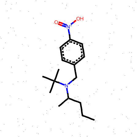 CCCC(C)N(Cc1ccc([N+](=O)O)cc1)C(C)(C)C